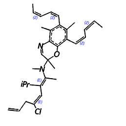 C=CC/C(Cl)=C\C(=C(/C)N(C)C1(C)C=Nc2c(C)c(/C=C\C=C/C)c(C)c(/C=C\C=C/C)c2O1)C(C)C